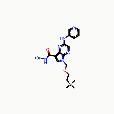 CC(C)(C)NC(=O)c1cn(COCC[Si](C)(C)C)c2ncc(Nc3cccnc3)nc12